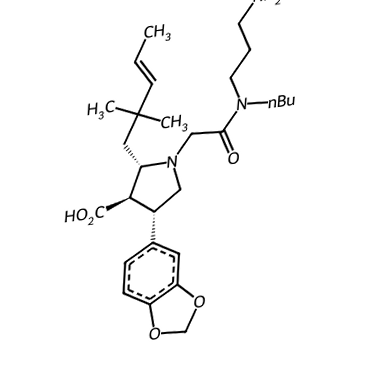 C/C=C/C(C)(C)C[C@H]1[C@H](C(=O)O)[C@@H](c2ccc3c(c2)OCO3)CN1CC(=O)N(CCCC)CCCN